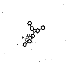 CC1(C)c2cc(-n3c4ccc(-c5ccccc5)cc4c4cc(-c5ccccc5)ccc43)ccc2-c2ccc3c(sc4ccccc43)c21